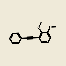 COc1cccc(C#Cc2ccccc2)c1OC